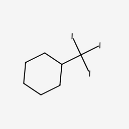 IC(I)(I)C1CCCCC1